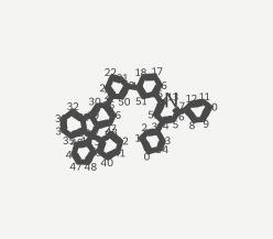 c1ccc(-c2cc(-c3ccccc3)nc(-c3cccc(-c4cccc(-c5ccc6c(c5)-c5ccccc5C6(c5ccccc5)c5ccccc5)c4)c3)c2)cc1